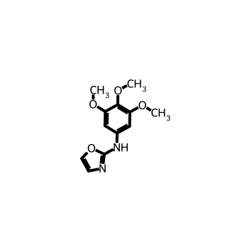 COc1cc(Nc2ncco2)cc(OC)c1OC